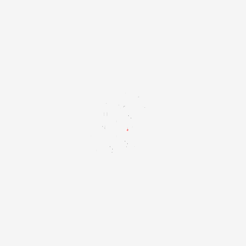 Cn1ccnc1CN1[C@@H]2CC[C@H]1CC(N)C2